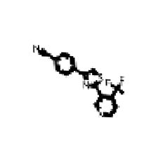 N#Cc1ccc(-c2csc(-c3cnccc3C(F)(F)F)n2)cc1